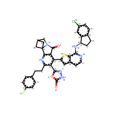 O=C1c2c(nc(CCc3ccc(F)cc3)c(-c3n[nH]c(=O)o3)c2-c2cc3ccnc(N[C@@H]4CCc5ccc(Cl)cc54)c3s2)C23CC(CN12)C3